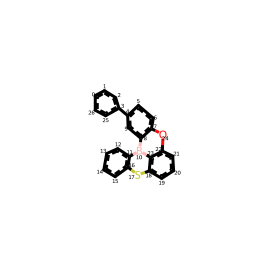 c1ccc(-c2ccc3c(c2)B2c4ccccc4Sc4cccc(c42)O3)cc1